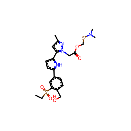 CCS(=O)(=O)c1cc(-c2ccc(-c3cc(C)nn3CC(=O)OCSN(C)C)[nH]2)ccc1CO